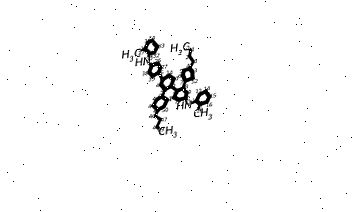 CCCCc1ccc(-c2cc(Nc3ccccc3C)ccc2-c2ccc(-c3ccc(Nc4ccccc4C)cc3)cc2-c2ccc(CCCC)cc2)cc1